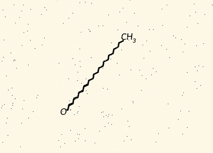 CCCCCCCCCCCCCCCC=CC=CC=CC=C[C]=O